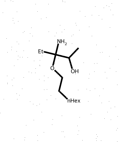 CCCCCCCCOC(N)(CC)C(C)O